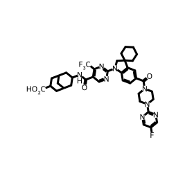 O=C(NC1CC2CC(C1)CC(C(=O)O)C2)c1cnc(N2CC3(CCCCC3)c3cc(C(=O)N4CCN(c5ncc(F)cn5)CC4)ccc32)nc1C(F)(F)F